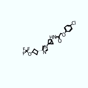 O=C(COc1ccc(Cl)cc1)NC12CC(n3cnc([C@H]4C[C@H](OC(F)(F)F)C4)c3)(C1)C2